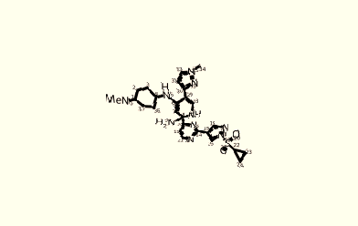 CNC1CCC(NC2=CC(N)(c3ccnc(-c4cnn(S(=O)(=O)C5CC5)c4)n3)NC=C2c2ccn(C)n2)CC1